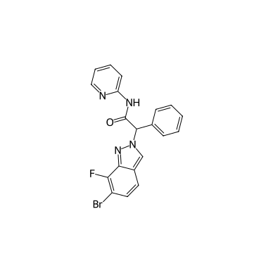 O=C(Nc1ccccn1)C(c1ccccc1)n1cc2ccc(Br)c(F)c2n1